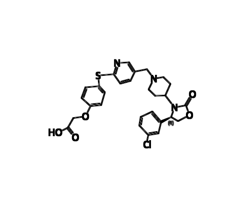 O=C(O)COc1ccc(Sc2ccc(CN3CCC(N4C(=O)OC[C@H]4c4cccc(Cl)c4)CC3)cn2)cc1